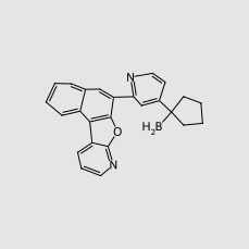 BC1(c2ccnc(-c3cc4ccccc4c4c3oc3ncccc34)c2)CCCC1